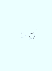 CCC[C@@H](CC(=O)O)c1cc(O)ccc1F